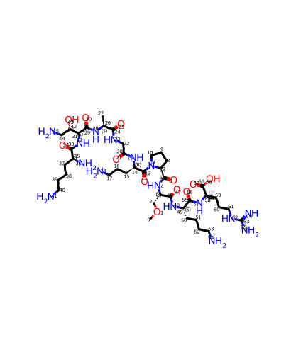 COC[C@H](NC(=O)[C@@H]1CCCN1C(=O)[C@@H](CCCN)NC(=O)CNC(=O)[C@H](C)NC(=O)[C@@H](NC(=O)[C@@H](N)CCCCN)[C@@H](O)CN)C(=O)N[C@@H](CCCCN)C(=O)N/C(=C\CCNC(=N)N)C(=O)O